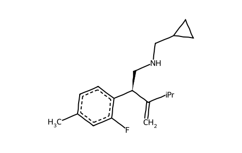 C=C(C(C)C)[C@H](CNCC1CC1)c1ccc(C)cc1F